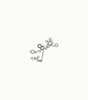 NC(=O)O[C@@H]1C[C@H]1CCCCCc1c(O[C@@H]2C[C@@H](C(N)=O)N(C(=O)CC3CCCC3)C2)nc2ccccc2c1OCCN1CCOCC1